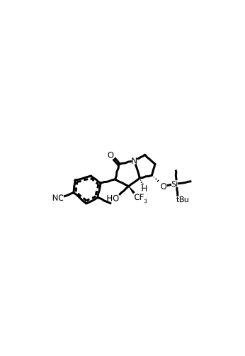 Cc1cc(C#N)ccc1C1C(=O)N2CC[C@H](O[Si](C)(C)C(C)(C)C)[C@H]2[C@@]1(O)C(F)(F)F